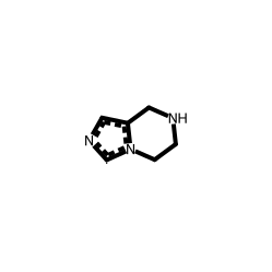 [c]1ncc2n1CCNC2